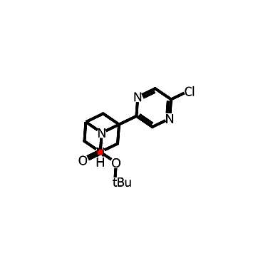 CC(C)(C)OC(=O)N1C2CNCC1(c1cnc(Cl)cn1)C2